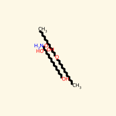 CCCCCCCCCCCCCCOCCCCCCCCCCCCCC.NC(=O)C(O)C(O)CCCCCCCCCCCCCO